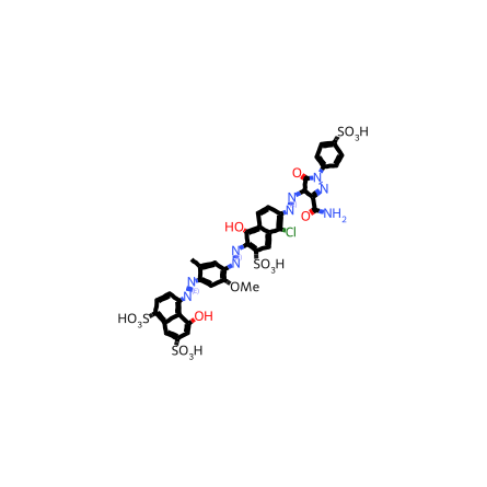 COc1cc(/N=N/c2ccc(S(=O)(=O)O)c3cc(S(=O)(=O)O)cc(O)c23)c(C)cc1/N=N/c1c(S(=O)(=O)O)cc2c(Cl)c(/N=N/C3C(=O)N(c4ccc(S(=O)(=O)O)cc4)N=C3C(N)=O)ccc2c1O